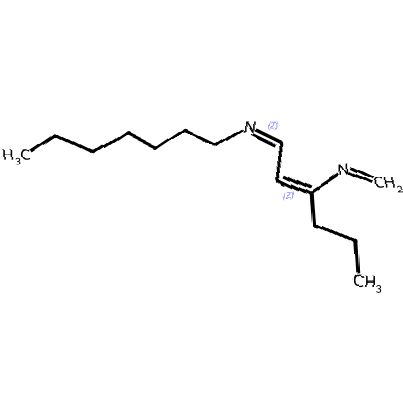 C=N/C(=C\C=N/CCCCCCC)CCC